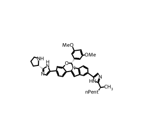 CCCCC[C@H](C)c1ncc(-c2ccc3c(c2)cc2n3[C@@H](c3cc(OC)cc(OC)c3)Oc3cc(-c4cnc([C@@H]5CCCN5)[nH]4)ccc3-2)[nH]1